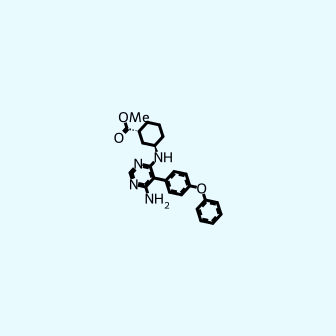 COC(=O)[C@@H]1CCC[C@@H](Nc2ncnc(N)c2-c2ccc(Oc3ccccc3)cc2)C1